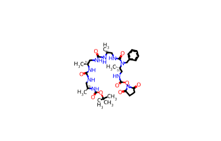 C[C@@H](CNC(=O)N[C@@H](C)CNC(=O)N(Cc1ccccc1)[C@@H](C)CNC(=O)ON1C(=O)CCC1=O)NC(=O)NC[C@H](C)NC(=O)OC(C)(C)C